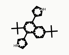 CC(C)(C)c1ccc2c(-c3cc[nH]c3)c(C(C)(C)C)cc(-c3cc[nH]c3)c2c1